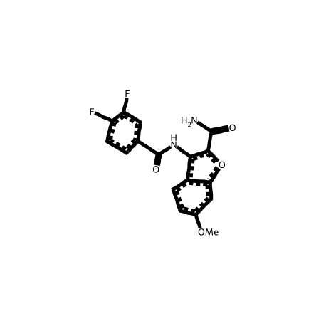 COc1ccc2c(NC(=O)c3ccc(F)c(F)c3)c(C(N)=O)oc2c1